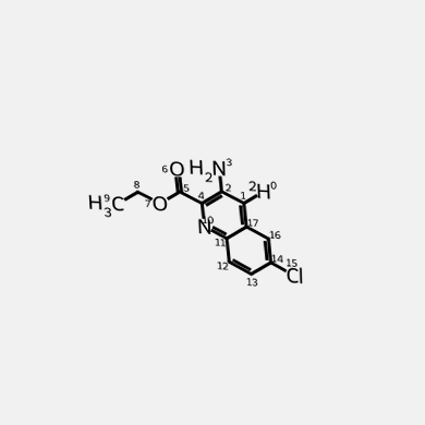 [2H]c1c(N)c(C(=O)OCC)nc2ccc(Cl)cc12